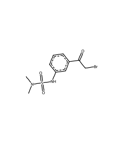 CN(C)S(=O)(=O)Nc1cccc(C(=O)CBr)c1